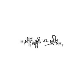 CCCCc1nc2c(N)nc3ccccc3c2n1CCOCCNC(=O)[C@H](CCCNC(=N)N)NC(C)=O